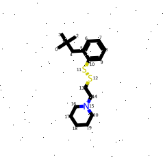 CC(C)(C)Cc1ccccc1SSCCN1CCCCC1